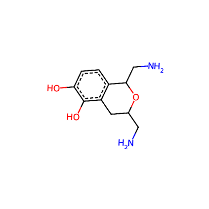 NCC1Cc2c(ccc(O)c2O)C(CN)O1